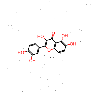 O=c1c(O)c(-c2ccc(O)c(O)c2)oc2ccc(O)c(O)c12